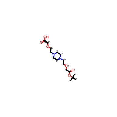 CC(C)(C)OC(=O)COCCN1CCN(CCOCC(=O)O)CC1